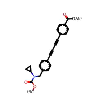 COC(=O)c1ccc(C#CC#Cc2ccc(CN(C(=O)OC(C)(C)C)C3CC3)cc2)cc1